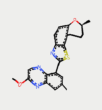 COc1cnc2c(-c3nc4ccc5c(c4s3)C[C@H](C)O5)cc(C)cc2n1